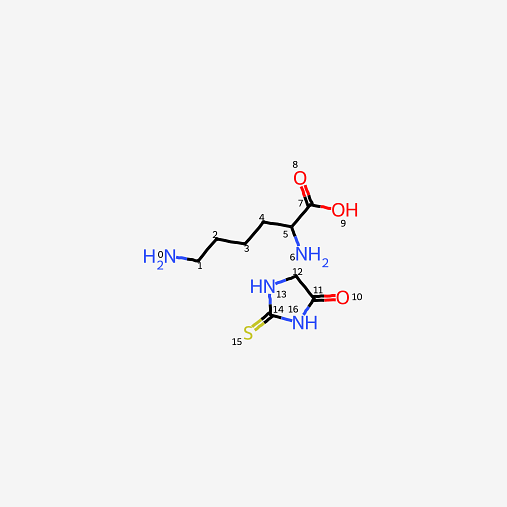 NCCCCC(N)C(=O)O.O=C1CNC(=S)N1